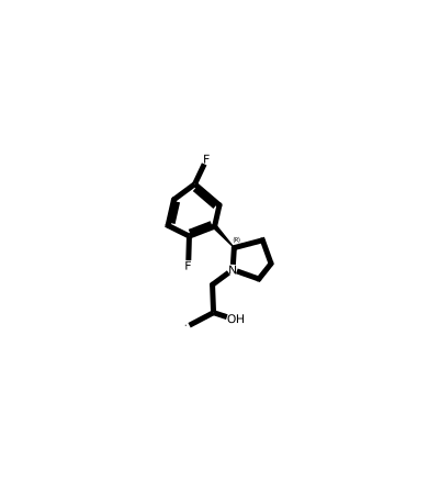 [CH2]C(O)CN1CCC[C@@H]1c1cc(F)ccc1F